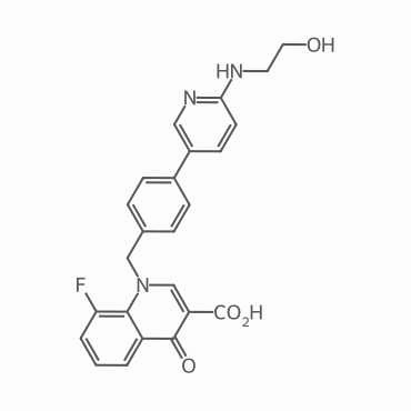 O=C(O)c1cn(Cc2ccc(-c3ccc(NCCO)nc3)cc2)c2c(F)cccc2c1=O